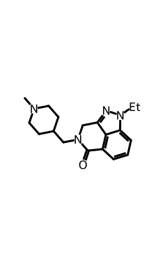 CCn1nc2c3c(cccc31)C(=O)N(CC1CCN(C)CC1)C2